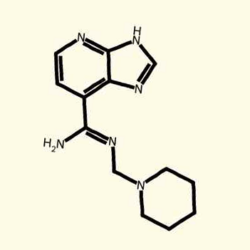 NC(=NCN1CCCCC1)c1ccnc2[nH]cnc12